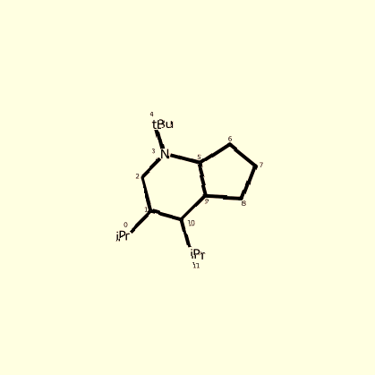 CC(C)C1CN(C(C)(C)C)C2CCCC2C1C(C)C